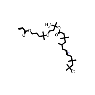 C=CC(=O)OCCCC(C)(C)OCCC(C)(N)OC(=O)CC(C)(C)CC(C)C/C=C/CC(C)(C)CC(C)(C)CC